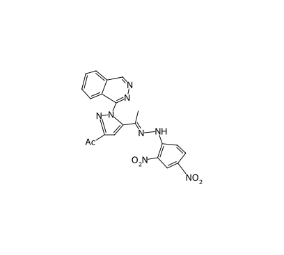 CC(=O)c1cc(C(C)=NNc2ccc([N+](=O)[O-])cc2[N+](=O)[O-])n(-c2nncc3ccccc23)n1